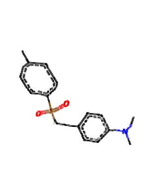 Cc1ccc(S(=O)(=O)[CH]c2ccc(N(C)C)cc2)cc1